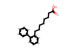 O=C(O)CCCCCCCc1ccccc1-c1ccccc1